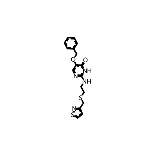 O=c1[nH]c(NCCSCc2ccsn2)ncc1OCc1ccccc1